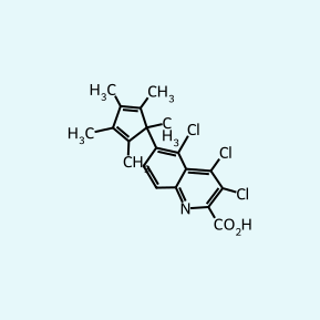 CC1=C(C)C(C)(c2ccc3nc(C(=O)O)c(Cl)c(Cl)c3c2Cl)C(C)=C1C